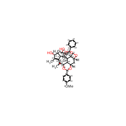 COc1ccc(C2O[C@H]3C[C@H]4OC[C@@]4(C)[C@H]4[C@H](OC(=O)c5ccccc5)[C@]5(C(C)(C)O)C[C@H](O)C(C)=C5[C@H](C)[C@H](O2)[C@]34C)cc1